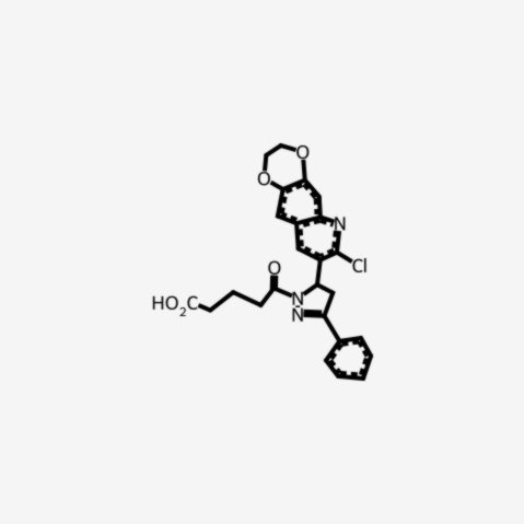 O=C(O)CCCC(=O)N1N=C(c2ccccc2)CC1c1cc2cc3c(cc2nc1Cl)OCCO3